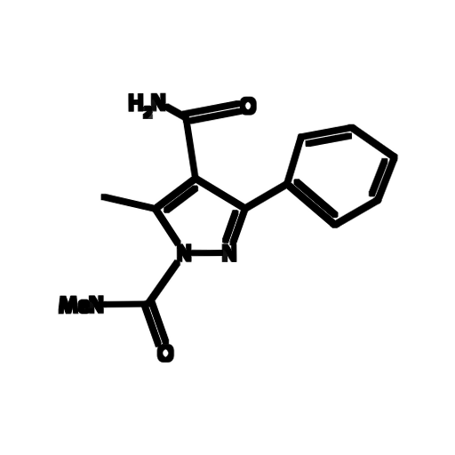 CNC(=O)n1nc(-c2ccccc2)c(C(N)=O)c1C